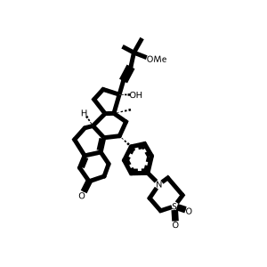 COC(C)(C)C#C[C@]1(O)CCC2[C@@H]3CCC4=CC(=O)CCC4=C3[C@@H](c3ccc(N4CCS(=O)(=O)CC4)cc3)C[C@@]21C